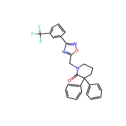 O=C1N(Cc2nc(-c3cccc(C(F)(F)F)c3)no2)CCCC1(c1ccccc1)c1ccccc1